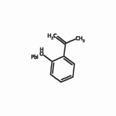 C=C(C)c1ccccc1O.[Pb]